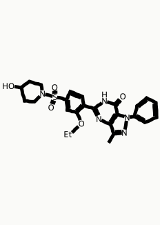 CCOc1cc(S(=O)(=O)N2CCC(O)CC2)ccc1-c1nc2c(C)nn(-c3ccccc3)c2c(=O)[nH]1